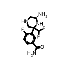 NC(=O)c1ccc(F)c(C2(C(F)F)CNC[C@H](N)N2)c1